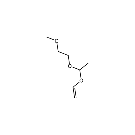 C=COC(C)OCCOC